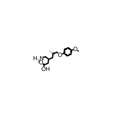 COc1ccc(OC[C@@H](C)CC(CN)CC(=O)O)cc1